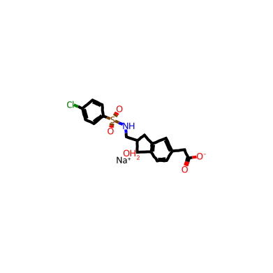 O.O=C([O-])Cc1ccc2c(c1)CC(CNS(=O)(=O)c1ccc(Cl)cc1)C2.[Na+]